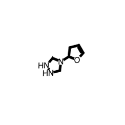 [CH]1NNCN1C1CC=CO1